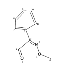 CON=C([C]=O)c1ccccc1